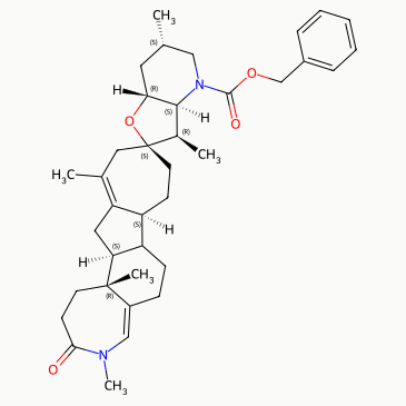 CC1=C2C[C@H]3C(CCC4=CN(C)C(=O)CC[C@@]43C)[C@@H]2CC[C@@]2(C1)O[C@@H]1C[C@H](C)CN(C(=O)OCc3ccccc3)[C@H]1[C@H]2C